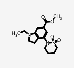 CCN1CCc2c1cc(C(=O)OC)cc2N1CCCCS1(=O)=O